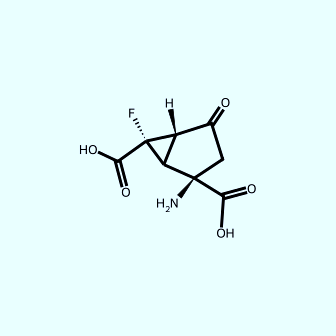 N[C@]1(C(=O)O)CC(=O)[C@@H]2C1[C@@]2(F)C(=O)O